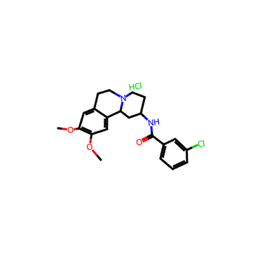 COc1cc2c(cc1OC)C1CC(NC(=O)c3cccc(Cl)c3)CCN1CC2.Cl